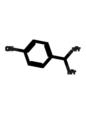 CCCC(CCC)c1ccc(N=O)cc1